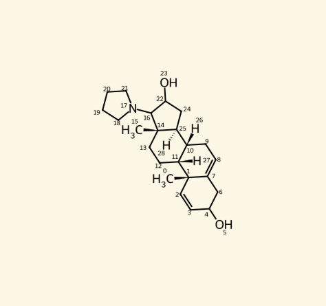 C[C@]12C=CC(O)CC1=CC[C@@H]1[C@H]2CC[C@]2(C)C(N3CCCC3)C(O)C[C@@H]12